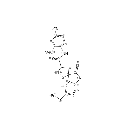 COc1cc(C#N)ccc1NC(=O)C1CC2(CN1)C(=O)Nc1ccc(CC(C)(C)C)cc12